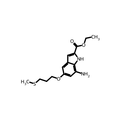 CCOC(=O)c1cc2cc(OCCCSC)cc(N)c2[nH]1